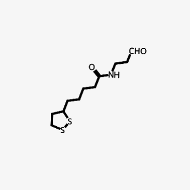 O=CCCNC(=O)CCCCC1CCSS1